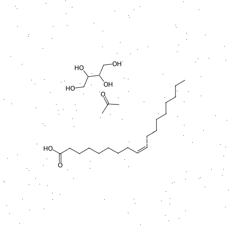 CC(C)=O.CCCCCCCC/C=C\CCCCCCCC(=O)O.OCC(O)C(O)CO